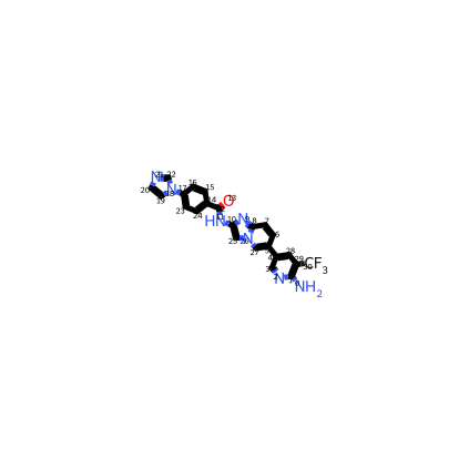 Nc1ncc(-c2ccc3nc(NC(=O)c4ccc(-n5ccnc5)cc4)cn3c2)cc1C(F)(F)F